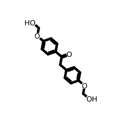 O=C(Cc1ccc(OCO)cc1)c1ccc(OCO)cc1